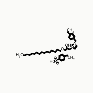 C=Cc1ccc(CN2C=CN(CC(O)COCCCCCCCCCCCCCCCC)C2)cc1.C=Cc1ccc(S(=O)(=O)O)cc1